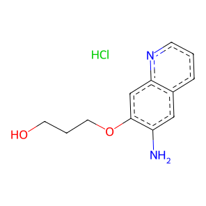 Cl.Nc1cc2cccnc2cc1OCCCO